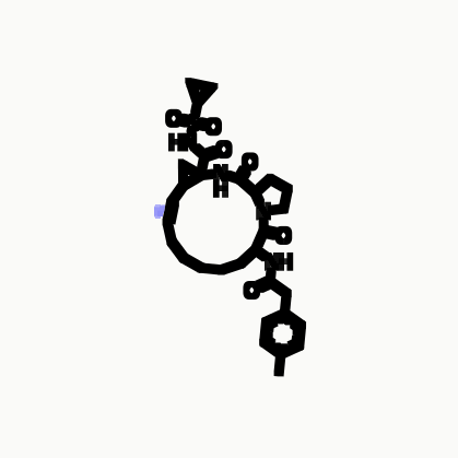 Cc1ccc(CC(=O)NC2CCCCC/C=C\C3CC3(C(=O)NS(=O)(=O)C3CC3)NC(=O)C3CCCN3C2=O)cc1